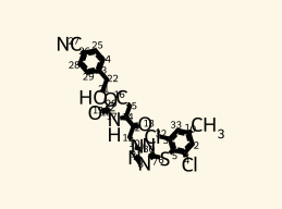 Cc1cc(Cl)c(Sc2nnn(CC(=O)C(CC(=O)O)NC(=O)OCCc3ccc(C#N)cc3)n2)c(Cl)c1